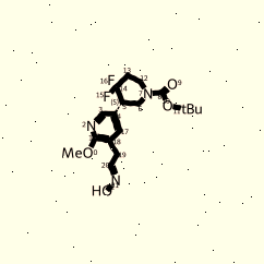 COc1ncc([C@H]2CN(C(=O)OC(C)(C)C)CCC2(F)F)cc1CC=NO